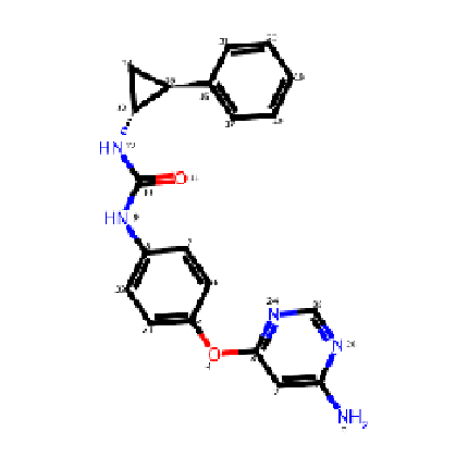 Nc1cc(Oc2ccc(NC(=O)N[C@@H]3C[C@H]3c3ccccc3)cc2)ncn1